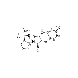 CCC(CC)(OC)C1CCCN1N1CCC(Cc2ccc(Cl)cc2Cl)C1=O